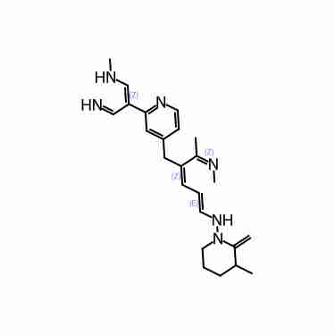 C=C1C(C)CCCN1N/C=C/C=C(Cc1ccnc(/C(C=N)=C/NC)c1)\C(C)=N/C